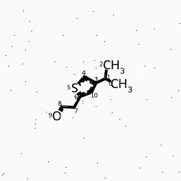 CC(C)c1csc(CC=O)c1